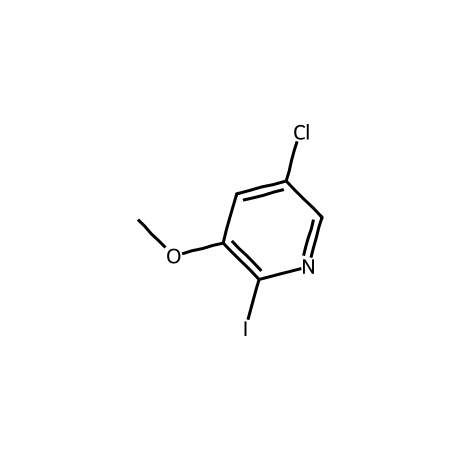 COc1cc(Cl)cnc1I